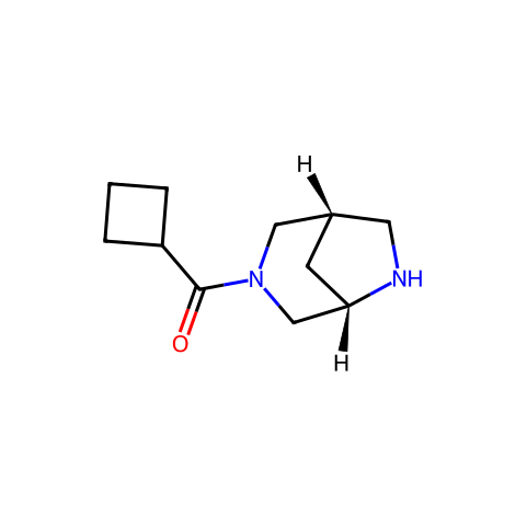 O=C(C1CCC1)N1C[C@@H]2CN[C@@H](C2)C1